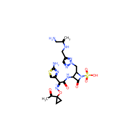 C=C(CN)NCc1cnn(CC2C(NC(=O)/C(=N\OC3(C(C)=O)CC3)c3csc(N)n3)C(=O)N2S(=O)(=O)O)n1